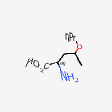 CCCOC(C)C[C@@H](N)C(=O)O